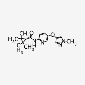 Cn1cc(Oc2ccc(NC(=O)C3C(C)(C)C3(C)C)nc2)cn1